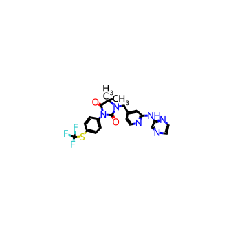 CC1(C)C(=O)N(c2ccc(SC(F)(F)F)cc2)C(=O)N1Cc1ccnc(Nc2cnccn2)c1